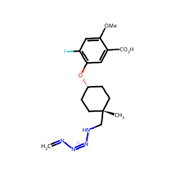 C=N/N=N\NC[C@]1(C)CC[C@H](Oc2cc(C(=O)O)c(OC)cc2F)CC1